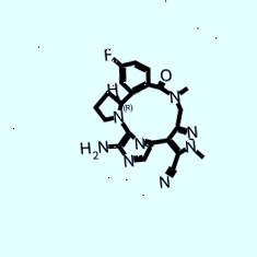 CN1Cc2nn(C)c(C#N)c2-c2cnc(N)c(n2)N2CCC[C@@H]2c2cc(F)ccc2C1=O